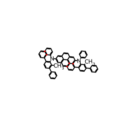 Cc1c(-c2ccccc2)ccc(-c2ccccc2)c1N(c1ccccc1)c1cc2ccc3cc(N(c4ccccc4)c4c(-c5ccccc5)ccc(-c5ccccc5)c4C)cc4ccc(c1)c2c34